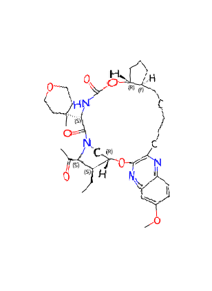 CC[C@@H]1[C@@H]2CN(C(=O)[C@H](C3(C)CCOCC3)NC(=O)O[C@@H]3CCC[C@H]3CCCCCc3nc4ccc(OC)cc4nc3O2)[C@@H]1C(C)=O